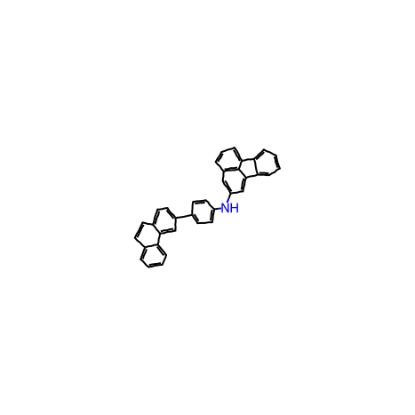 c1ccc2c(c1)-c1cccc3cc(Nc4ccc(-c5ccc6ccc7ccccc7c6c5)cc4)cc-2c13